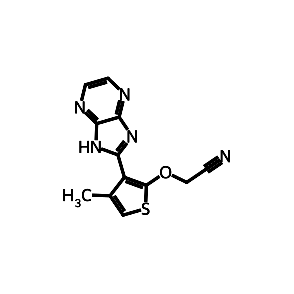 Cc1csc(OCC#N)c1-c1nc2nccnc2[nH]1